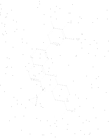 COc1cc(-c2ccc3ncc(C(=O)C4CC4)c(NC4CCC(N(C)C(=O)O)CC4)c3c2)cc(Cl)c1O